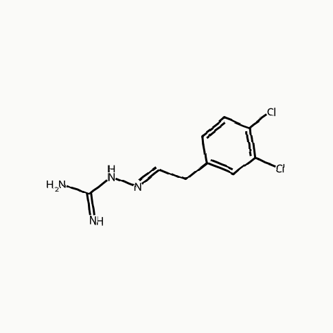 N=C(N)NN=CCc1ccc(Cl)c(Cl)c1